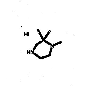 CN1CCNCC1(C)C.I